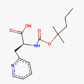 CCCC(C)(C)OC(=O)N[C@@H](Cc1ccccn1)C(=O)O